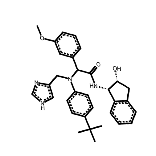 COc1cccc(C(C(=O)N[C@H]2c3ccccc3C[C@H]2O)N(Cc2c[nH]cn2)c2ccc(C(C)(C)C)cc2)c1